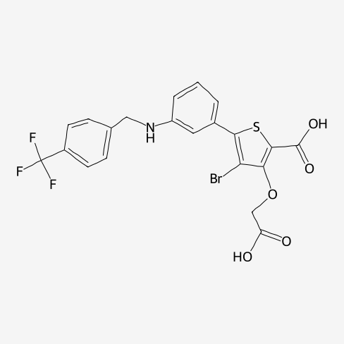 O=C(O)COc1c(C(=O)O)sc(-c2cccc(NCc3ccc(C(F)(F)F)cc3)c2)c1Br